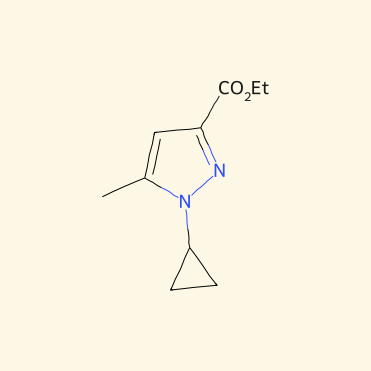 CCOC(=O)c1cc(C)n(C2CC2)n1